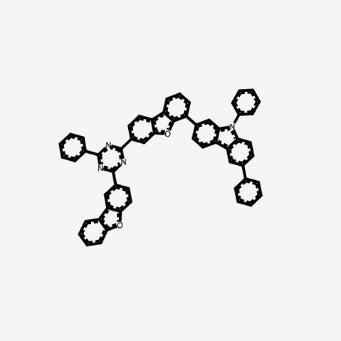 c1ccc(-c2ccc3c(c2)c2ccc(-c4cccc5c4oc4cc(-c6nc(-c7ccccc7)nc(-c7ccc8oc9ccccc9c8c7)n6)ccc45)cc2n3-c2ccccc2)cc1